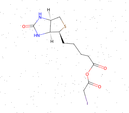 O=C1N[C@H]2[C@H](CS[C@H]2CCCCC(=O)OC(=O)CI)N1